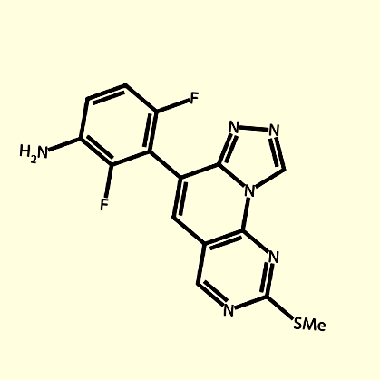 CSc1ncc2cc(-c3c(F)ccc(N)c3F)c3nncn3c2n1